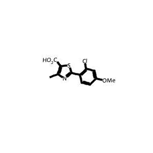 COc1ccc(-c2nc(C)c(C(=O)O)s2)c(Cl)c1